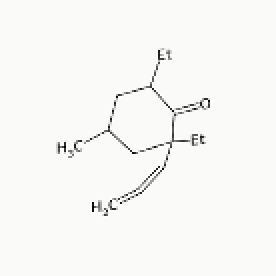 C=C=CC1(CC)CC(C)CC(CC)C1=O